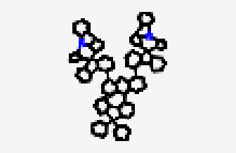 c1ccc(C2(c3ccccc3)c3ccccc3-c3c(-c4c5cccc(-c6cccc7c6-c6ccccc6C76c7ccccc7-n7c8ccccc8c8cccc6c87)c5cc5c(-c6cccc7c6-c6ccccc6C76c7ccccc7-n7c8ccccc8c8cccc6c87)cccc45)cccc32)cc1